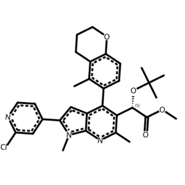 COC(=O)[C@@H](OC(C)(C)C)c1c(C)nc2c(cc(-c3ccnc(Cl)c3)n2C)c1-c1ccc2c(c1C)CCCO2